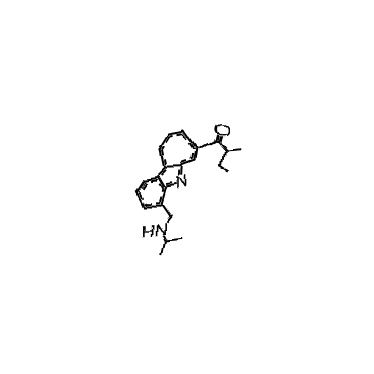 CCC(C)C(=O)c1cccc2c3cccc(CNC(C)C)c3nc-2c1